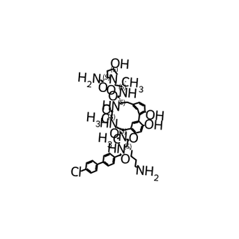 C[C@@H]1NC(=O)[C@@H](N(C)C(=O)[C@H](CCCCN)NC(=O)c2ccc(-c3ccc(Cl)cc3)cc2)c2ccc(O)c(c2)-c2cc(ccc2O)C[C@@H](C(=O)N[C@@H](C)C(=O)N2C[C@@H](O)C[C@H]2C(N)=O)NC1=O